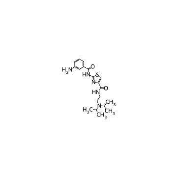 CC(C)N(CCNC(=O)c1csc(NC(=O)c2cccc(N)c2)n1)C(C)C